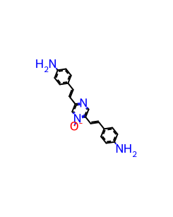 Nc1ccc(C=Cc2c[n+]([O-])c(C=Cc3ccc(N)cc3)cn2)cc1